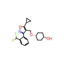 O[C@H]1[CH]C[C@H](OCc2c(-c3ccccc3C(F)F)noc2C2CC2)CC1